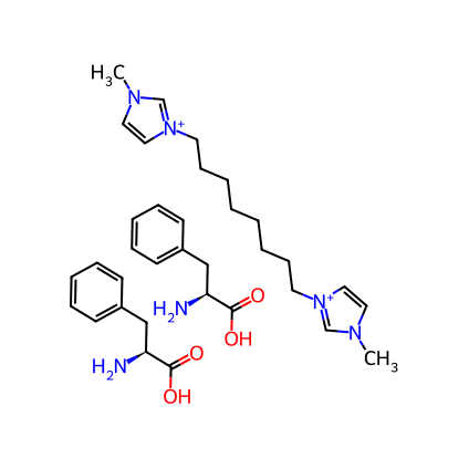 Cn1cc[n+](CCCCCCCC[n+]2ccn(C)c2)c1.N[C@@H](Cc1ccccc1)C(=O)O.N[C@@H](Cc1ccccc1)C(=O)O